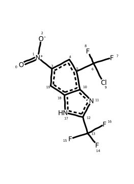 O=[N+]([O-])c1cc(C(F)(F)Cl)c2nc(C(F)(F)F)[nH]c2c1